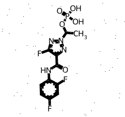 CC(OP(=O)(O)O)n1nc(F)c(C(=O)Nc2ccc(F)cc2F)n1